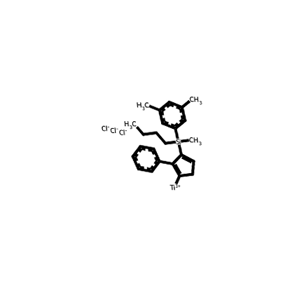 CCCC[Si](C)(C1=CC[C]([Ti+3])=C1c1ccccc1)c1cc(C)cc(C)c1.[Cl-].[Cl-].[Cl-]